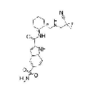 N#CC1(CNC[C@H]2CCCC[C@@H]2NC(=O)c2cc3cc(S(N)(=O)=O)ccc3[nH]2)CC1